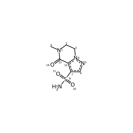 CN1CCn2ncc(S(N)(=O)=O)c2C1=O